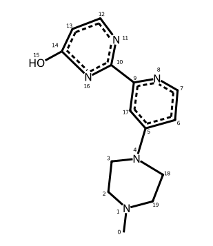 CN1CCN(c2ccnc(-c3nccc(O)n3)c2)CC1